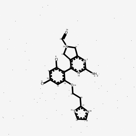 Nc1nc2c(c(-c3c(Cl)cc(Cl)cc3OCCc3nccs3)n1)CN(C=O)C2